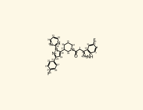 O=C(Cc1n[nH]c2ccc(F)cc12)N1CCCC(c2cc(-c3ccc(F)cc3)nn2-c2ncccn2)C1